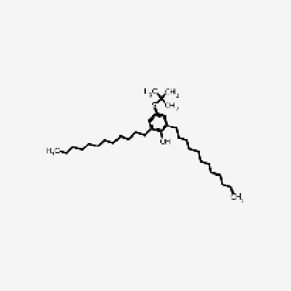 CCCCCCCCCCCCc1cc(SC(C)(C)C)cc(CCCCCCCCCCCC)c1O